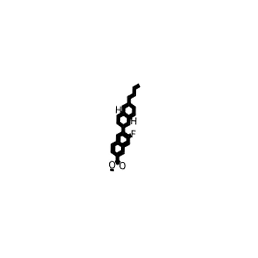 CCCCC1CC[C@@H]2CC(c3cc4ccc(C(=O)OC)cc4cc3F)CC[C@H]2C1